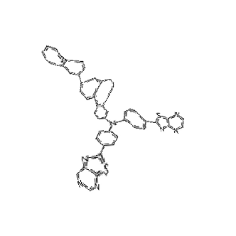 c1ccc2cc(-c3ccc4c(ccc5cc(N(c6ccc(-c7nc8cncnc8s7)cc6)c6ccc(-c7nc8nccnc8s7)cc6)ccc54)c3)ccc2c1